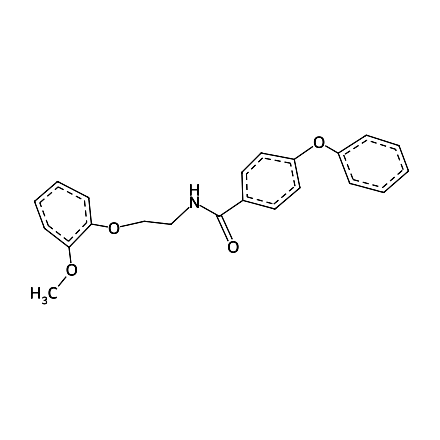 COc1ccccc1OCCNC(=O)c1ccc(Oc2ccccc2)cc1